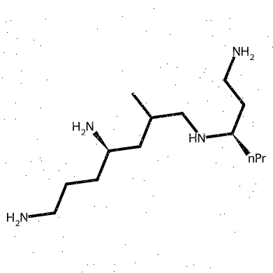 CCC[C@H](CCN)NCC(C)C[C@H](N)CCCN